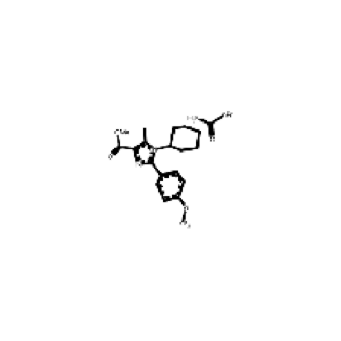 CCCC(N)=O.COC(=O)c1nc(-c2ccc(OC(F)(F)F)cc2)n(C2CCCCC2)c1C